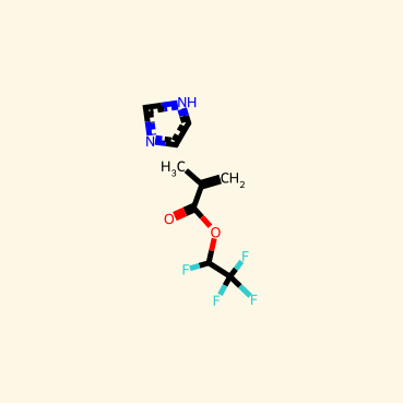 C=C(C)C(=O)OC(F)C(F)(F)F.c1c[nH]cn1